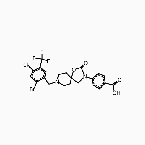 O=C(O)c1ccc(N2CC3(CCN(Cc4cc(C(F)(F)F)c(Cl)cc4Br)CC3)OC2=O)cc1